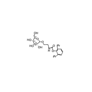 CC(C)c1cccc(C(C)C)c1OC(=O)NCCOC1O[C@H](CO)[C@@H](O)[C@H](O)[C@H]1O